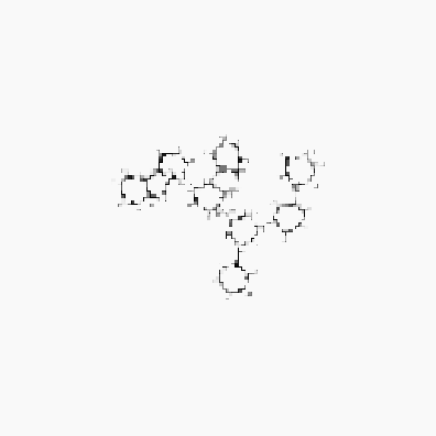 c1ccc(-c2cc(-c3cccc(-c4ccncc4)c3)nc(-c3ccc(-c4cccc5c4oc4ccccc45)c4c3oc3ccccc34)n2)cc1